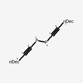 CCCCCCCCCCC#C[P][P]C#CCCCCCCCCCC